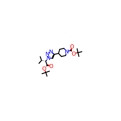 CC(C)[C@@H](C(=O)OC(C)(C)C)n1cc(C2CCN(C(=O)OC(C)(C)C)CC2)nn1